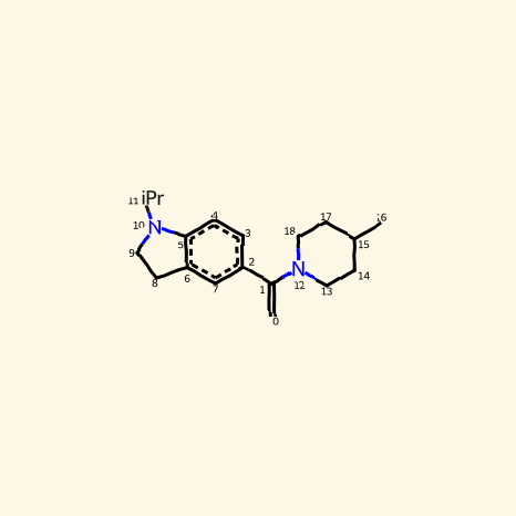 C=C(c1ccc2c(c1)CCN2C(C)C)N1CCC(C)CC1